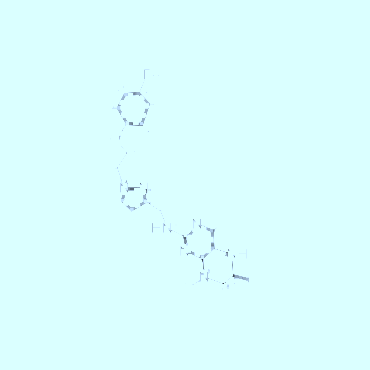 C[C@H]1C(=O)Nc2cnc(NCc3ccn(CCOc4ccc(F)cc4)n3)nc2N1C